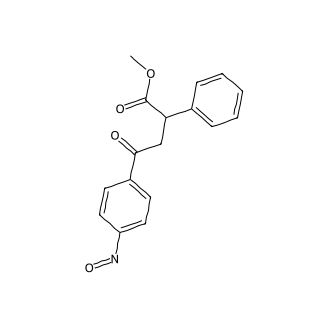 COC(=O)C(CC(=O)c1ccc(N=O)cc1)c1ccccc1